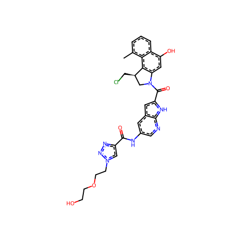 Cc1cccc2c(O)cc3c(c12)[C@H](CCl)CN3C(=O)c1cc2cc(NC(=O)c3cn(CCOCCO)nn3)cnc2[nH]1